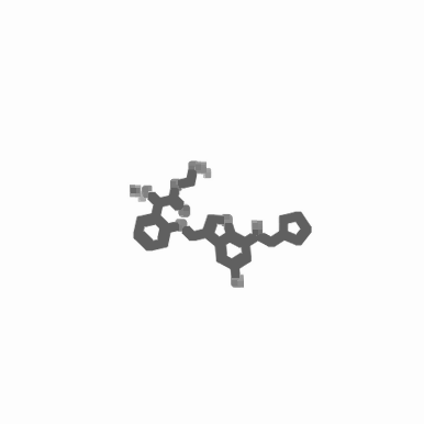 CCOC(=O)C(C)c1ccccc1OCc1coc2c(NCC3CCCC3)cc(Cl)cc12